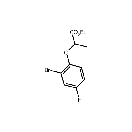 CCOC(=O)C(C)Oc1ccc(F)cc1Br